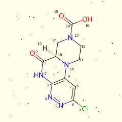 O=C1Nc2nnc(Cl)cc2N2CCN(C(=O)O)C[C@H]12